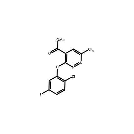 COC(=O)c1cc(C(F)(F)F)nnc1Oc1cc(F)ccc1Cl